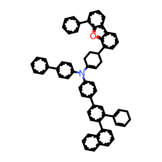 C1=CC(c2cc(-c3ccc(N(C4=CCC(c5cccc6c5oc5c(-c7ccccc7)cccc56)CC4)c4ccc(-c5ccccc5)cc4)cc3)ccc2-c2cccc3ccccc23)=CCC1